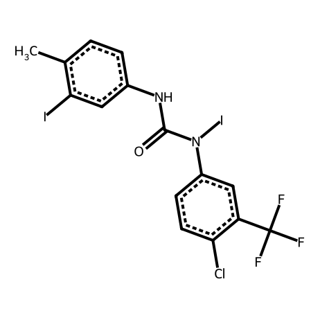 Cc1ccc(NC(=O)N(I)c2ccc(Cl)c(C(F)(F)F)c2)cc1I